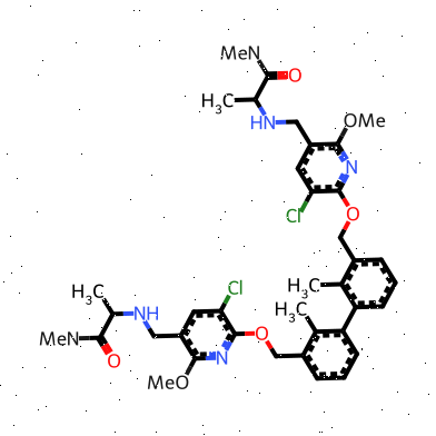 CNC(=O)C(C)NCc1cc(Cl)c(OCc2cccc(-c3cccc(COc4nc(OC)c(CNC(C)C(=O)NC)cc4Cl)c3C)c2C)nc1OC